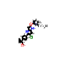 C/C=C(\C=C(\C(=O)O)C(C)CC)Oc1cc2nc(-c3ccc(C4(CO)CC4)cc3)c(Cl)cc2[nH]1